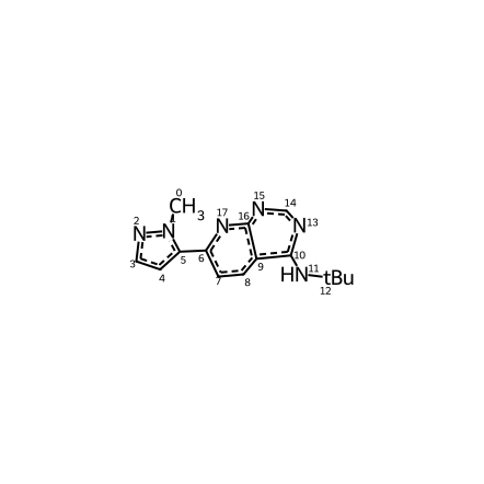 Cn1nccc1-c1ccc2c(NC(C)(C)C)ncnc2n1